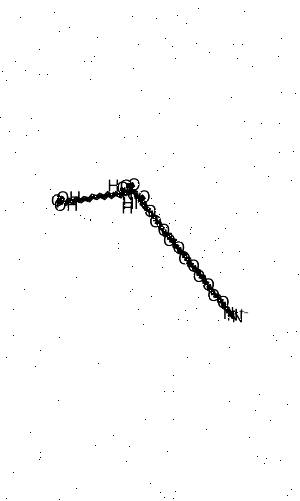 [N-]=[N+]=NCCOCCOCCOCCOCCOCCOCCOCCOCCOCCOCCOCCNC(=O)CCC(NC(=O)CCCCCCCCCCCCCCCP(=O)(O)O)C(=O)O